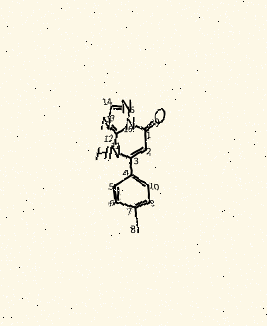 O=c1cc(-c2ccc(I)cc2)[nH]c2ncnn12